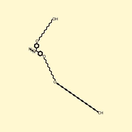 C#CC#CC#CC#CC#CC#CC#CC#CC#CC#CC#COCCCCCCCCCCCCOc1ccc(C(N=[N+]=[N-])c2ccc(OCCCCCCCCCCCCO)cc2)cc1